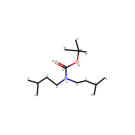 CC(C)CCN(CCC(C)C)C(=O)OC(C)(C)C